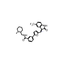 CN1CCCCC1CNC(=O)c1cccc(-c2ccc(/C=C3/C(=O)Nc4ccc(C(F)(F)F)cc43)o2)c1